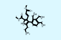 COC(=O)/C=C/c1c(C(=O)OC)[nH]c(CCN)c1-c1ccc(CO)c(CO)c1CO